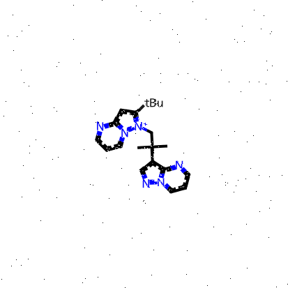 CC(C)(C)c1cc2ncccn2[n+]1CC(C)(C)c1cnn2cccnc12